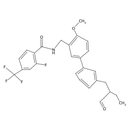 CCC(C=O)Cc1cccc(-c2ccc(OC)c(CNC(=O)c3ccc(C(F)(F)F)cc3F)c2)c1